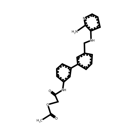 CC(=O)OCC(=O)Nc1cccc(-c2cccc(CNc3cccnc3N)c2)c1